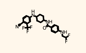 N#Cc1ccc(NC2CCC(NC(=O)c3ccc(NCC(F)F)cc3)CC2)cc1C(F)(F)F